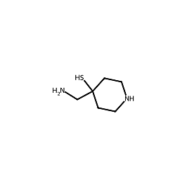 NCC1(S)CCNCC1